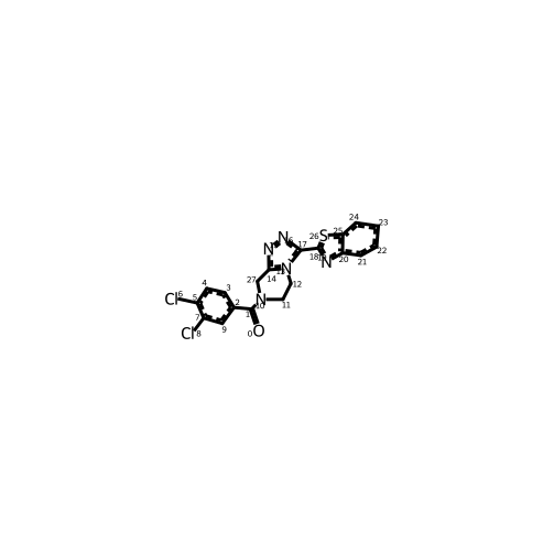 O=C(c1ccc(Cl)c(Cl)c1)N1CCn2c(nnc2-c2nc3ccccc3s2)C1